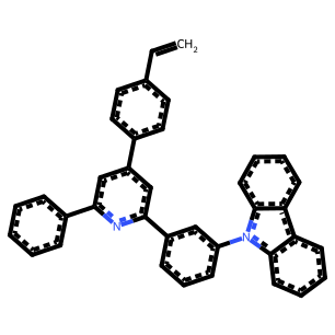 C=Cc1ccc(-c2cc(-c3ccccc3)nc(-c3cccc(-n4c5ccccc5c5ccccc54)c3)c2)cc1